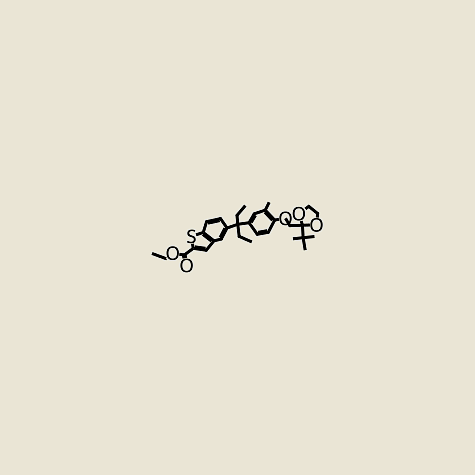 CCOC(=O)c1cc2cc(C(CC)(CC)c3ccc(OCC4(C(C)(C)C)OCCO4)c(C)c3)ccc2s1